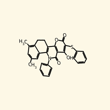 Cc1cc(C)c2c(c1)-c1c(c3oc(=O)c(Sc4ccccc4)c(O)c3c(=O)n1-c1ccccc1)CC2